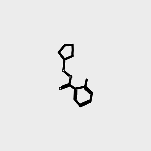 Cc1ccccc1C(=O)OO[C]1CCCC1